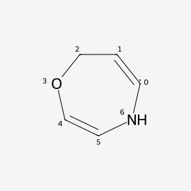 [C]1=CCOC=CN1